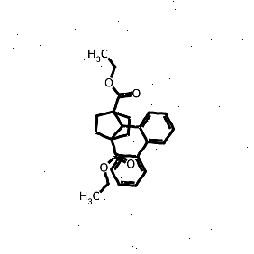 CCOC(=O)C12CCC(C(=O)OCC)(CC1)C2c1ccccc1-c1ccccc1